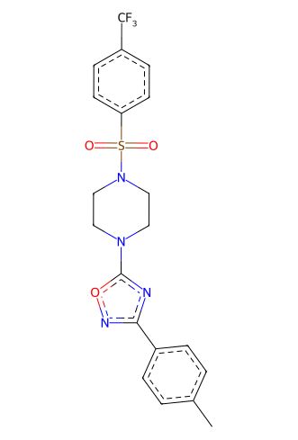 Cc1ccc(-c2noc(N3CCN(S(=O)(=O)c4ccc(C(F)(F)F)cc4)CC3)n2)cc1